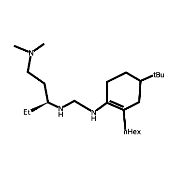 CCCCCCC1=C(NCN[C@@H](CC)CCN(C)C)CCC(C(C)(C)C)C1